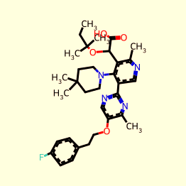 CCC(C)(C)OC(C(=O)O)c1c(C)ncc(-c2ncc(OCCc3ccc(F)cc3)c(C)n2)c1N1CCC(C)(C)CC1